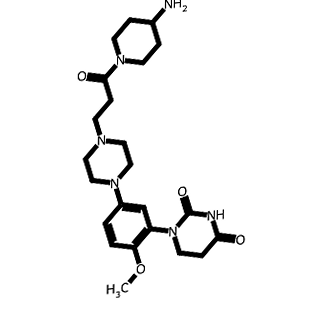 COc1ccc(N2CCN(CCC(=O)N3CCC(N)CC3)CC2)cc1N1CCC(=O)NC1=O